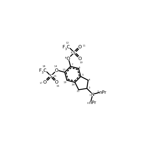 CCCN(CCC)C1Cc2cc(OS(=O)(=O)C(F)(F)F)c(OS(=O)(=O)C(F)(F)F)cc2C1